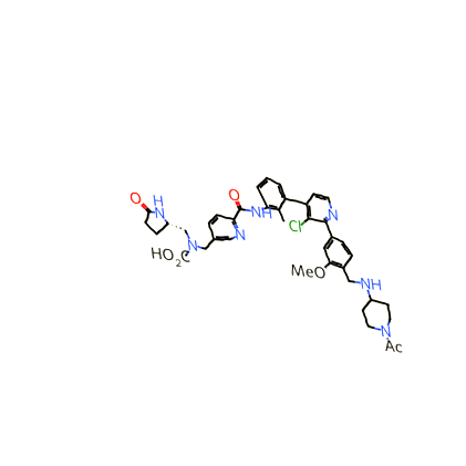 COc1cc(-c2nccc(-c3cccc(NC(=O)c4ccc(CN(C[C@@H]5CCC(=O)N5)C(=O)O)cn4)c3C)c2Cl)ccc1CNC1CCN(C(C)=O)CC1